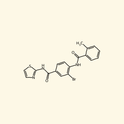 Cc1ccccc1C(=O)Nc1ccc(C(=O)Nc2nccs2)cc1Br